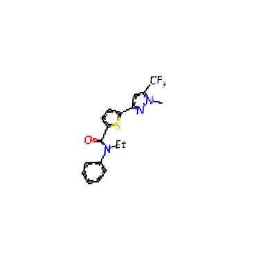 CCN(C(=O)c1ccc(-c2cc(C(F)(F)F)n(C)n2)s1)c1ccccc1